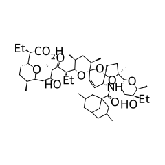 CC[C@@H](C(=O)[C@@H](C)[C@@H](O)[C@H](C)[C@@H]1O[C@@H]([C@@H](CC)C(=O)O)CC[C@@H]1C)[C@H]1O[C@]2(C=C[C@@H](NC(=O)C34CC(C)CC(CC(C)C3)C4)[C@]3(CC[C@@](C)([C@H]4CC[C@](O)(CC)[C@H](C)O4)O3)O2)[C@H](C)C[C@@H]1C